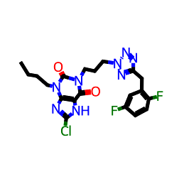 CCCCn1c(=O)n(CCCn2nnc(Cc3cc(F)ccc3F)n2)c(=O)c2[nH]c(Cl)nc21